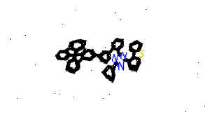 c1ccc(-c2nc(-c3ccccc3-c3cccc(-c4ccc5c(c4)-c4ccccc4C54c5ccccc5-c5ccccc54)c3)nc(-c3cccc4sc5ccccc5c34)n2)cc1